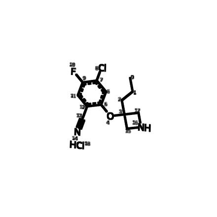 CCCC1(Oc2cc(Cl)c(F)cc2C#N)CNC1.Cl